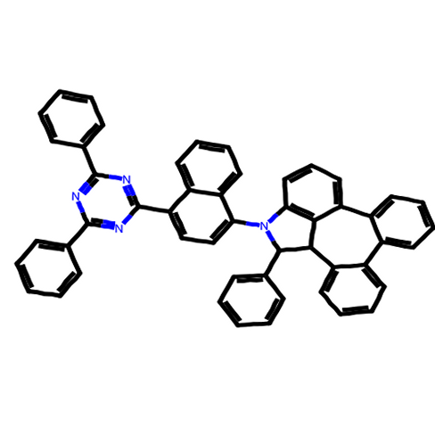 c1ccc(-c2nc(-c3ccccc3)nc(-c3ccc(N4c5cccc6c5C(c5ccccc5-c5ccccc5-6)C4c4ccccc4)c4ccccc34)n2)cc1